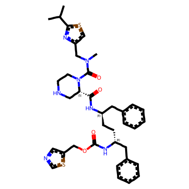 CC(C)c1nc(CN(C)C(=O)N2CCNC[C@H]2C(=O)N[C@H](CC[C@H](Cc2ccccc2)NC(=O)OCc2cncs2)Cc2ccccc2)cs1